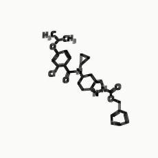 CC(C)Oc1ccc(C(=O)N(C2CC2)C2CCc3nn(C(=O)OCc4ccccc4)cc3C2)c(Cl)c1